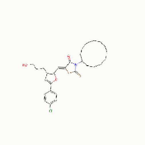 O=C1/C(=C/c2oc(-c3ccc(Cl)cc3)cc2CCCO)SC(=S)N1C1CCCCCCCCCCC1